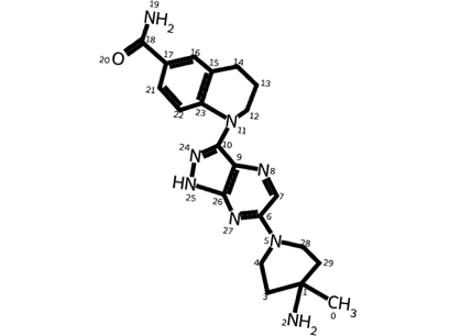 CC1(N)CCN(c2cnc3c(N4CCCc5cc(C(N)=O)ccc54)n[nH]c3n2)CC1